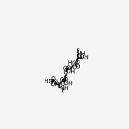 O=P(O)(O)OCC(CNF)COP(=O)(O)OCCOP(=O)(O)OCCOP(=O)(O)OCC(CO)CNF